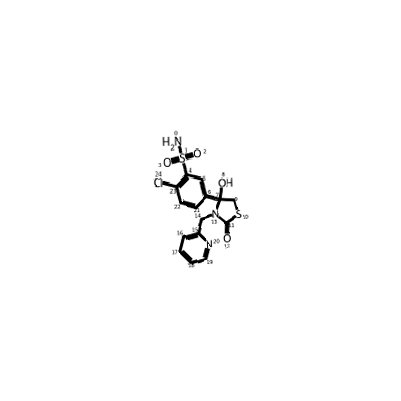 NS(=O)(=O)c1cc(C2(O)CSC(=O)N2Cc2ccccn2)ccc1Cl